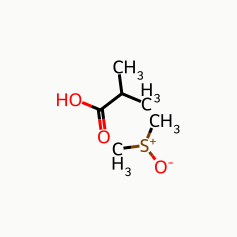 CC(C)C(=O)O.C[S+](C)[O-]